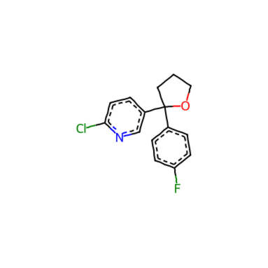 Fc1ccc(C2(c3ccc(Cl)nc3)CCCO2)cc1